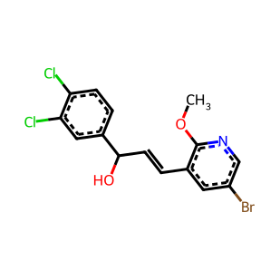 COc1ncc(Br)cc1C=CC(O)c1ccc(Cl)c(Cl)c1